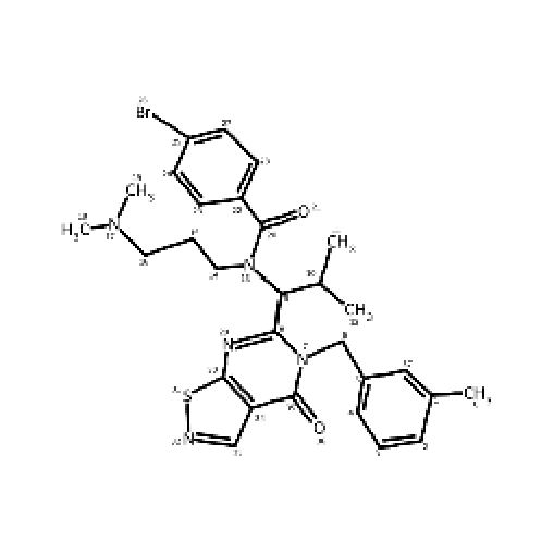 Cc1cccc(Cn2c(C(C(C)C)N(CCCN(C)C)C(=O)c3ccc(Br)cc3)nc3sncc3c2=O)c1